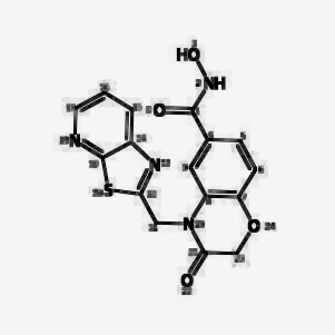 O=C(NO)c1ccc2c(c1)N(Cc1nc3cccnc3s1)C(=O)CO2